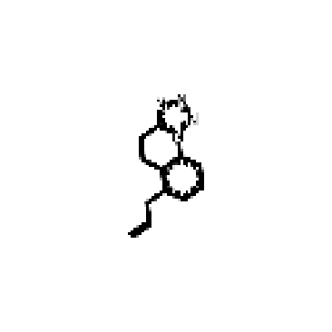 C=CCc1cccc2c1CCc1nnnn1-2